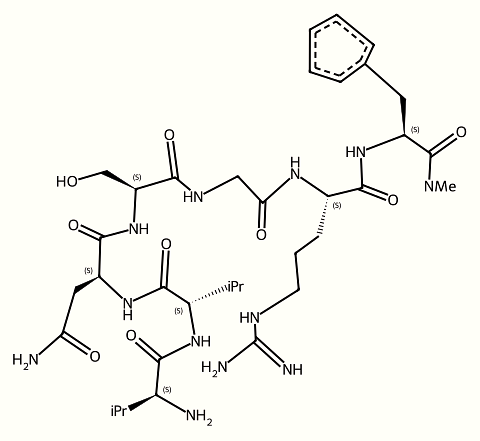 CNC(=O)[C@H](Cc1ccccc1)NC(=O)[C@H](CCCNC(=N)N)NC(=O)CNC(=O)[C@H](CO)NC(=O)[C@H](CC(N)=O)NC(=O)[C@@H](NC(=O)[C@@H](N)C(C)C)C(C)C